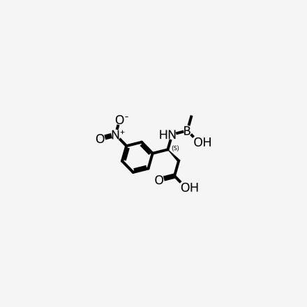 CB(O)N[C@@H](CC(=O)O)c1cccc([N+](=O)[O-])c1